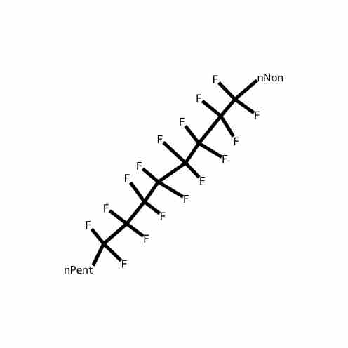 CCCCCCCCCC(F)(F)C(F)(F)C(F)(F)C(F)(F)C(F)(F)C(F)(F)C(F)(F)C(F)(F)CCCCC